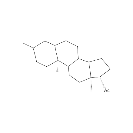 CC(=O)[C@H]1CCC2C3CCC4CC(C)CC[C@]4(C)C3CC[C@@]21C